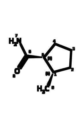 C[C@H]1CCC[C@H]1C(N)=O